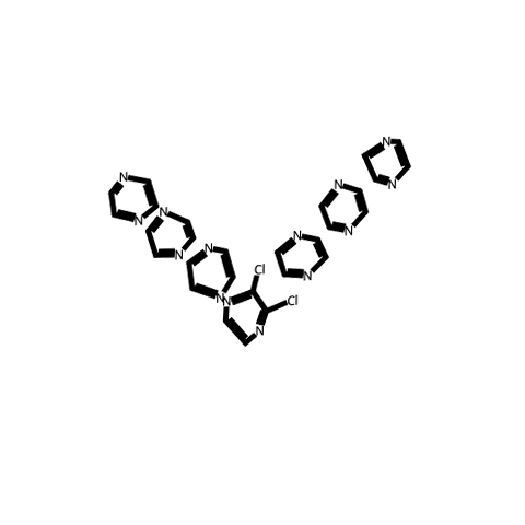 Clc1nccnc1Cl.c1cnccn1.c1cnccn1.c1cnccn1.c1cnccn1.c1cnccn1.c1cnccn1